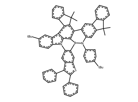 CC(C)(C)c1ccc(N2B3c4cc5sc(-c6ccccc6)c(-c6ccccc6)c5cc4-n4c5ccc(C(C)(C)C)cc5c5c6c(c(c3c54)-c3cc4c(cc32)C(C)(C)c2ccccc2-4)C(C)(C)c2ccccc2-6)cc1